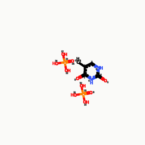 Cc1c[nH]c(=O)[nH]c1=O.O=P(O)(O)O.O=P(O)(O)O